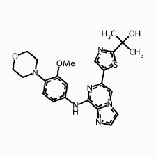 COc1cc(Nc2nc(-c3cnc(C(C)(C)O)s3)cn3ccnc23)ccc1N1CCOCC1